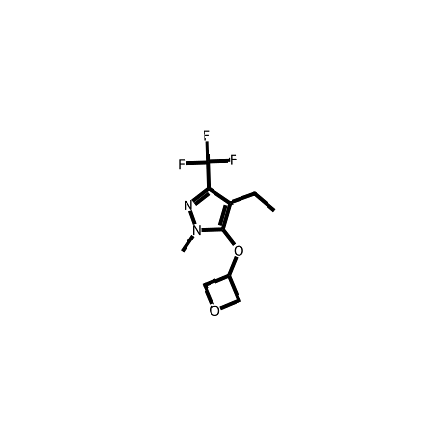 CCc1c(C(F)(F)F)nn(C)c1OC1COC1